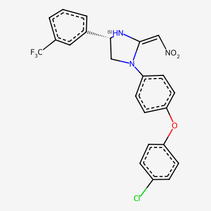 O=[N+]([O-])C=C1N[C@@H](c2cccc(C(F)(F)F)c2)CN1c1ccc(Oc2ccc(Cl)cc2)cc1